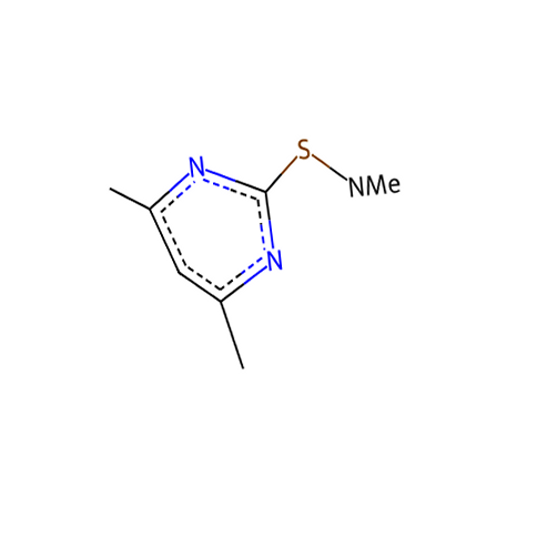 CNSc1nc(C)cc(C)n1